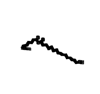 CCCCCCCCCCCCCCCC(=O)OC(=O)CCCCCCCCCCCCCCCO